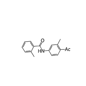 [CH2]C(=O)c1ccc(NC(=O)c2ccccc2C)cc1C